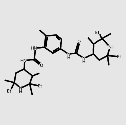 CCC1(C)CC(NC(=O)Nc2ccc(C)c(NC(=O)NC3CC(C)(CC)NC(C)(CC)C3C)c2)C(C)C(C)(CC)N1